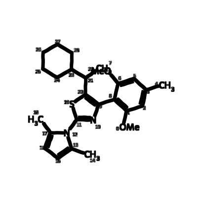 COc1cc(C)cc(OC)c1-c1nc(-n2c(C)ccc2C)sc1C(C)C1CCCCC1